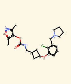 Cc1noc(C)c1OC(=O)NCC1CC(Oc2cccc(CN3CCCC3)c2Cl)C1